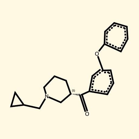 O=C(c1cccc(Oc2ccccc2)c1)[C@H]1CCCN(CC2CC2)C1